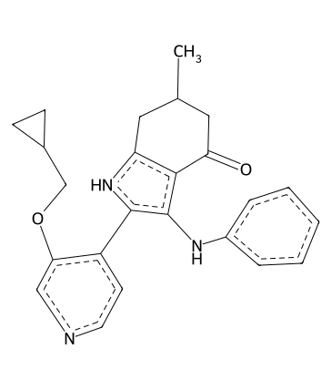 CC1CC(=O)c2c([nH]c(-c3ccncc3OCC3CC3)c2Nc2ccccc2)C1